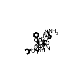 CCC(CC)COC(=O)[C@H](C)NP(=O)(N[C@@H](C)C(=O)OC1CCCCC1)OC1[C@@]2(C#N)O[C@@H](c3ccc4c(N)ncnn34)[C@H](O)[C@@]12O